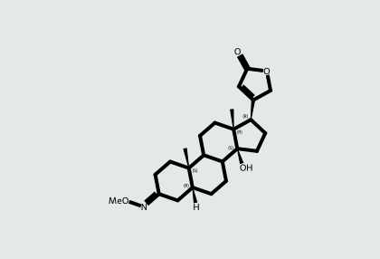 CON=C1CC[C@]2(C)C3CC[C@]4(C)[C@@H](C5=CC(=O)OC5)CC[C@]4(O)C3CC[C@@H]2C1